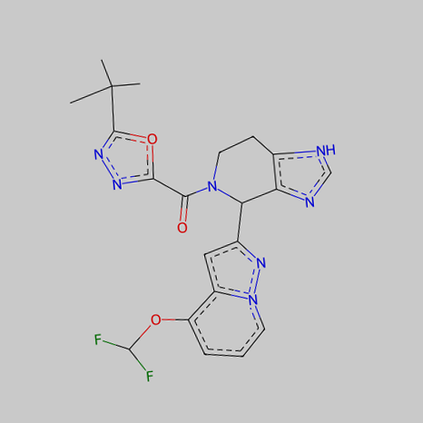 CC(C)(C)c1nnc(C(=O)N2CCc3[nH]cnc3C2c2cc3c(OC(F)F)cccn3n2)o1